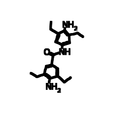 CCc1cc(NC(=O)c2cc(CC)c(N)c(CC)c2)cc(CC)c1N